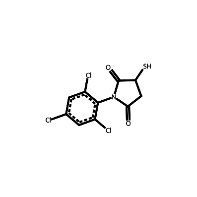 O=C1CC(S)C(=O)N1c1c(Cl)cc(Cl)cc1Cl